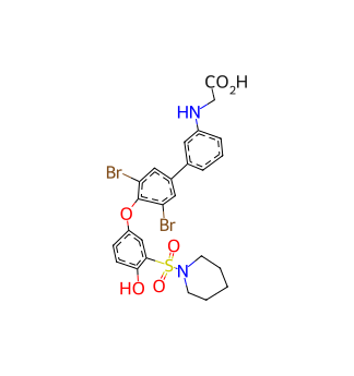 O=C(O)CNc1cccc(-c2cc(Br)c(Oc3ccc(O)c(S(=O)(=O)N4CCCCC4)c3)c(Br)c2)c1